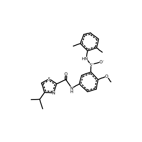 COc1ccc(NC(=O)c2nc(C(C)C)cs2)cc1[S+]([O-])Nc1c(C)cccc1C